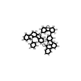 O=c1c2ccccc2c2cccc3c4cc(-c5cccc6oc7ccc(-n8c9ccccc9c9c8ccc8c%10ccccc%10n(-c%10ccccc%10)c89)cc7c56)ccc4n1c23